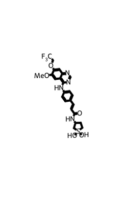 COc1cc2c(Nc3ccc(C=CC(=O)NC4CCS(O)(O)C4)cc3)ncnc2cc1OCC(F)(F)F